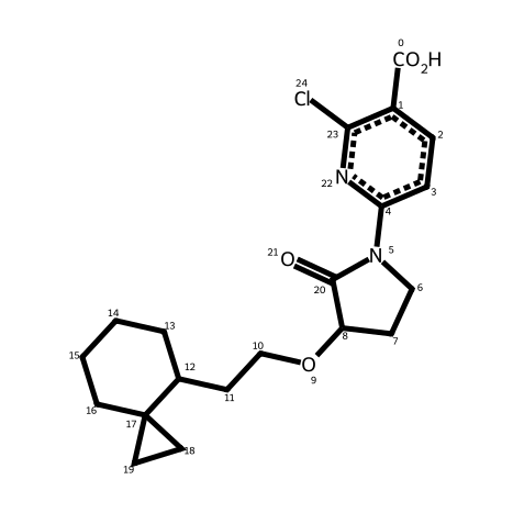 O=C(O)c1ccc(N2CCC(OCCC3CCCCC34CC4)C2=O)nc1Cl